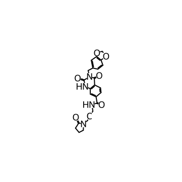 O=C(NCCCN1CCCC1=O)c1ccc2c(=O)n(Cc3ccc4c(c3)OCO4)c(=O)[nH]c2c1